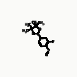 CC1(C)OB(c2ccc(P=O)c(F)c2)OC1(C)C